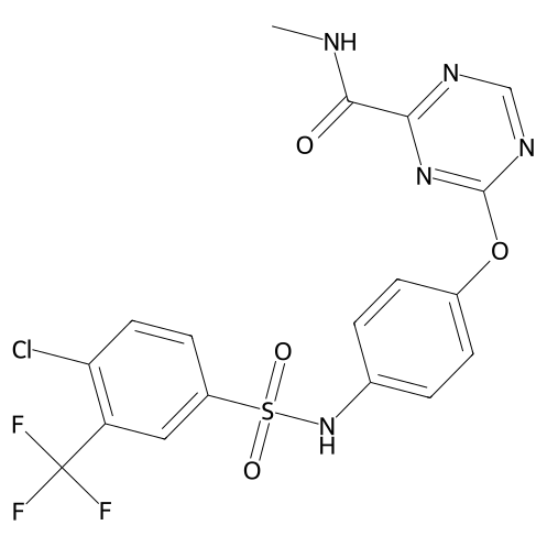 CNC(=O)c1ncnc(Oc2ccc(NS(=O)(=O)c3ccc(Cl)c(C(F)(F)F)c3)cc2)n1